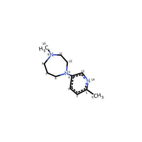 Cc1ccc(N2CCCN(C)CC2)cn1